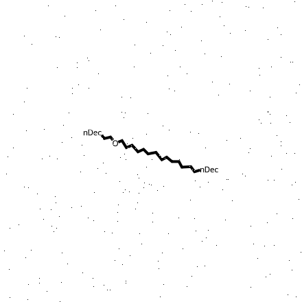 CCCCCCCCCCCCCCCCCCCCCCCCOCCCCCCCCCCCC